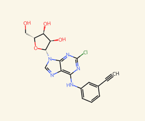 C#Cc1cccc(Nc2nc(Cl)nc3c2ncn3[C@@H]2O[C@H](CO)[C@@H](O)[C@H]2O)c1